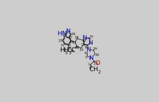 C=CC(=O)N1CCN(c2ncnc3c2C[C@@H](C)C(c2c(C)ccc4[nH]ncc24)C3)CC1